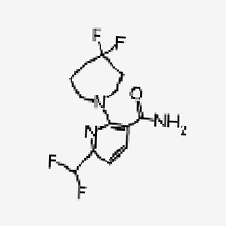 NC(=O)c1ccc(C(F)F)nc1N1CCCC(F)(F)CC1